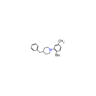 [CH2]c1ccc(C(C)(C)C)c(N2CCC(Cc3ccccc3)CC2)c1